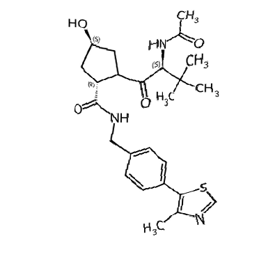 CC(=O)N[C@H](C(=O)C1C[C@H](O)C[C@H]1C(=O)NCc1ccc(-c2scnc2C)cc1)C(C)(C)C